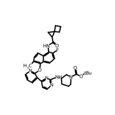 Cc1ccc2c(NC(=O)C3CC34CCC4)c(F)ccc2c1Oc1ncccc1-c1ccnc(N[C@H]2CCCN(C(=O)OC(C)(C)C)C2)n1